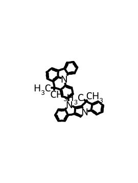 CC1(C)c2cc(-n3c4ccccc4c4cn5c(c43)C(C)(C)c3ccccc3-5)ccc2-n2c3ccccc3c3cccc1c32